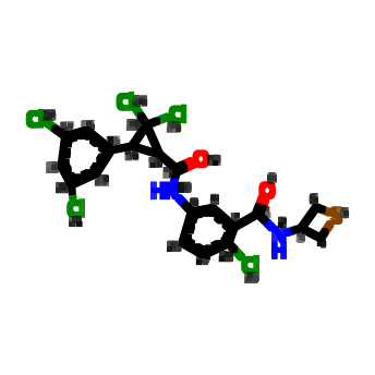 O=C(NC1CSC1)c1cc(NC(=O)C2C(c3cc(Cl)cc(Cl)c3)C2(Cl)Cl)ccc1Cl